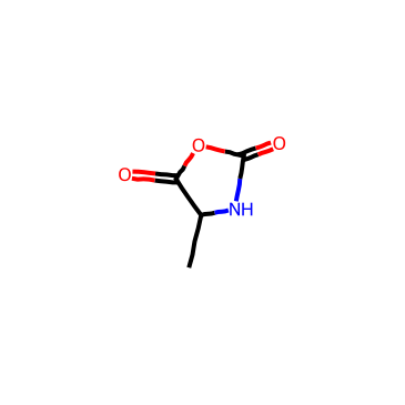 CC1NC(=O)OC1=O